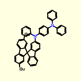 CCC(C)c1ccc2c(c1)C1(c3ccccc3-c3ccc(N(c4ccccc4)c4ccc(N(c5ccccc5)c5ccccc5)cc4)cc31)c1cc(C(C)CC)ccc1-2